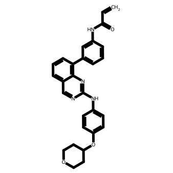 C=CC(=O)Nc1cccc(-c2cccc3cnc(Nc4ccc(OC5CCOCC5)cc4)nc23)c1